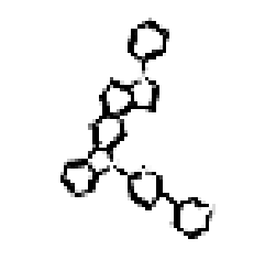 c1ccc(-n2ccc3c4cc5c(cc4ccc32)c2ccccc2n5-c2ccc(-c3cccnc3)cn2)cc1